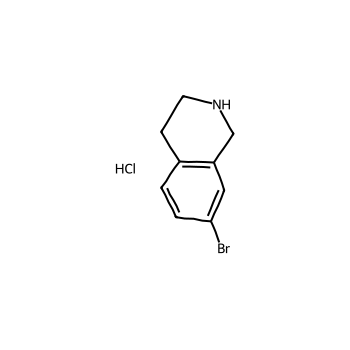 Brc1ccc2c(c1)CNCC2.Cl